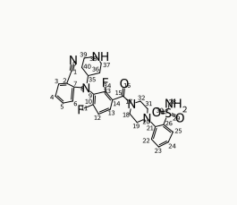 N#Cc1ccccc1N(c1c(F)ccc(C(=O)N2CCN(c3ccccc3S(N)(=O)=O)CC2)c1F)C1CCNCC1